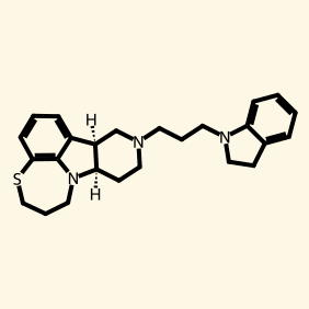 c1ccc2c(c1)CCN2CCCN1CC[C@@H]2[C@H](C1)c1cccc3c1N2CCCS3